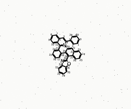 c1ccc(-c2cc3ccccc3c(-c3ccccc3-c3ccc4ccccc4c3-c3nc4ccccc4o3)n2)cc1